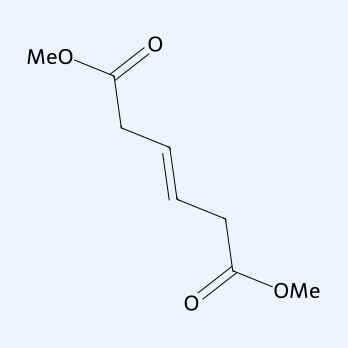 COC(=O)CC=CCC(=O)OC